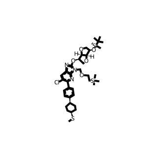 CS[C@H]1CC[C@@H](c2ccc(-c3nc4c(cc3Cl)nc(O[C@@H]3CO[C@H]5[C@@H]3OC[C@H]5O[Si](C)(C)C(C)(C)C)n4COCC[Si](C)(C)C)cc2)CC1